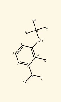 C[C](C)c1cccc(OC(C)(C)C)c1C